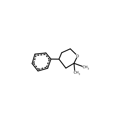 CC1(C)CC(c2cc[c]cc2)CCO1